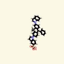 Cc1ccccc1C1c2ccc(N3CCc4ccccc43)cc2[Si](C)(C)C2=C/C(=[N+]3\CCc4cc(S(=O)(=O)O)ccc43)C=CC21